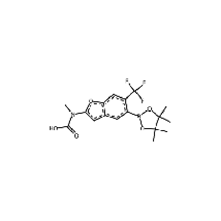 CN(C(=O)O)c1cc2cc(B3OC(C)(C)C(C)(C)O3)c(C(F)(F)F)cc2o1